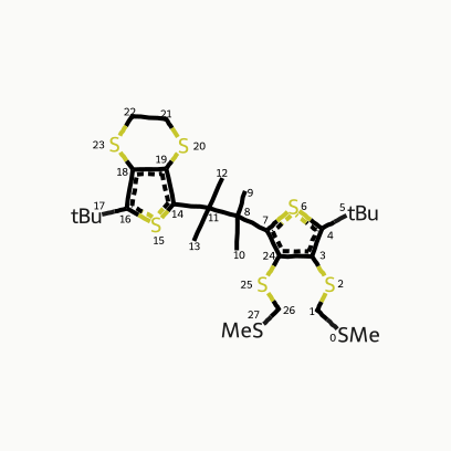 CSCSc1c(C(C)(C)C)sc(C(C)(C)C(C)(C)c2sc(C(C)(C)C)c3c2SCCS3)c1SCSC